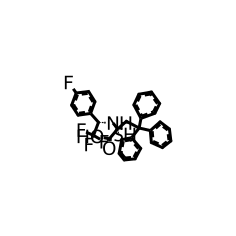 O=C(O)[C@](S)(CC(c1ccccc1)(c1ccccc1)c1ccccc1)N[C@@H](c1ccc(F)cc1)C(F)(F)F